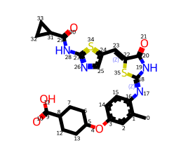 Cc1cc(OC2CCC(C(=O)O)CC2)ccc1/N=C1/NC(=O)/C(=C/c2cnc(NC(=O)C3CC3)s2)S1